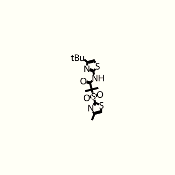 Cc1csc(S(=O)(=O)C(C)(C)C(=O)Nc2nc(C(C)(C)C)cs2)n1